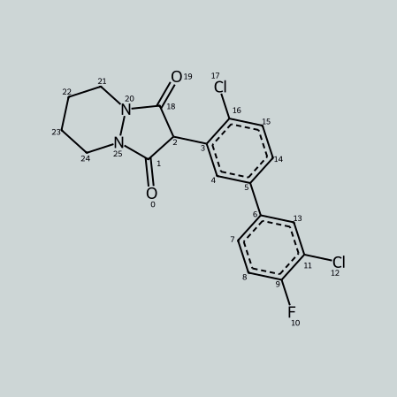 O=C1C(c2cc(-c3ccc(F)c(Cl)c3)ccc2Cl)C(=O)N2CCCCN12